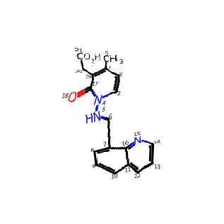 Cc1ccn(NCc2cccc3cccnc23)c(=O)c1CC(=O)O